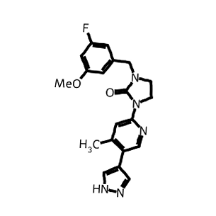 COc1cc(F)cc(CN2CCN(c3cc(C)c(-c4cn[nH]c4)cn3)C2=O)c1